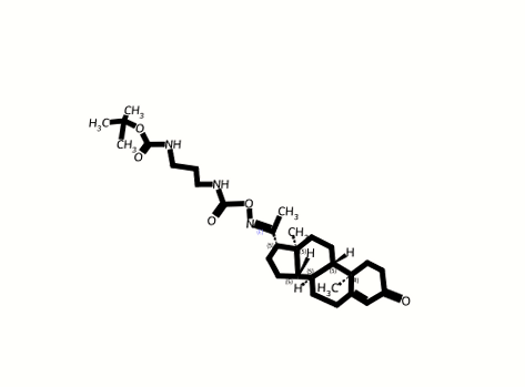 C/C(=N\OC(=O)NCCCNC(=O)OC(C)(C)C)[C@H]1CC[C@H]2[C@@H]3CCC4=CC(=O)CC[C@]4(C)[C@H]3CC[C@]12C